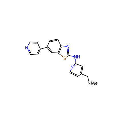 CNCc1ccnc(Nc2nc3ccc(-c4ccncc4)cc3s2)c1